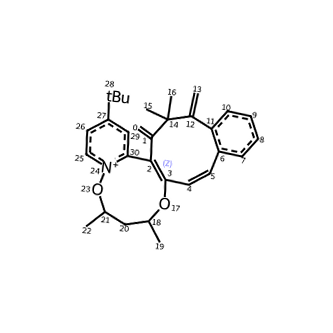 C=C1/C2=C(\C=Cc3ccccc3C(=C)C1(C)C)OC(C)CC(C)O[n+]1ccc(C(C)(C)C)cc12